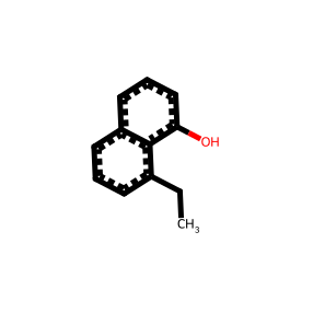 CCc1cccc2cccc(O)c12